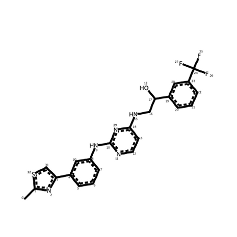 Cc1nc(-c2cccc(Nc3nccc(NCC(O)c4cccc(C(F)(F)F)c4)n3)c2)cs1